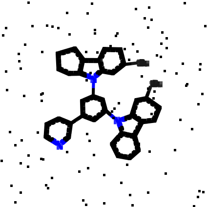 CC(C)(C)c1ccc2c3ccccc3n(-c3cc(-c4cccnc4)cc(-n4c5ccccc5c5ccc(C(C)(C)C)cc54)c3)c2c1